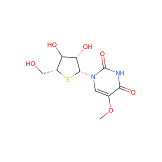 COc1cn([C@@H]2S[C@H](CO)C(O)[C@@H]2O)c(=O)[nH]c1=O